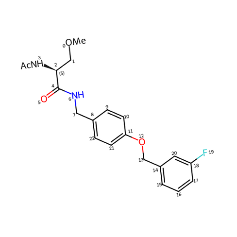 COC[C@H](NC(C)=O)C(=O)NCc1ccc(OCc2cccc(F)c2)cc1